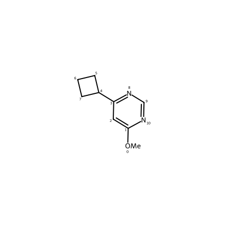 COc1cc(C2CCC2)ncn1